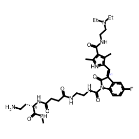 CCN(CC)CCNC(=O)c1c(C)[nH]c(/C=C2\C(=O)N(C(=O)NCCNC(=O)CCC(=O)N[C@@H](CCN)C(=O)PC)c3ccc(F)cc32)c1C